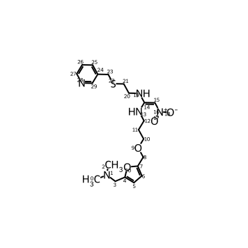 CN(C)Cc1ccc(COCCCNC(=C[N+](=O)[O-])NCCSCc2cccnc2)o1